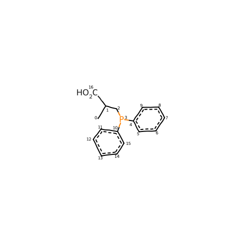 CC(CP(c1ccccc1)c1ccccc1)C(=O)O